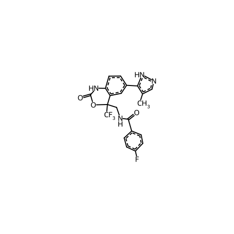 Cc1cn[nH]c1-c1ccc2c(c1)C(CNC(=O)c1ccc(F)cc1)(C(F)(F)F)OC(=O)N2